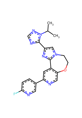 CC(C)n1ncnc1-c1cn2c(n1)-c1cc(-c3ccc(F)nc3)ncc1OCC2